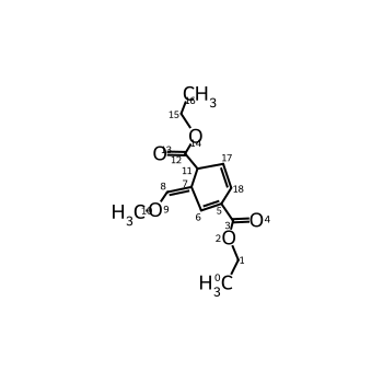 CCOC(=O)C1=CC(=COC)C(C(=O)OCC)C=C1